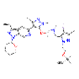 C=Cc1nn(C2CCCCO2)c2cnc(-c3c(C)nn(C)c3O[C@@H](C)CN(C)Cc3c(I)c(C)nn3CCO[Si](C)(C)C(C)(C)C)cc12